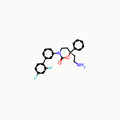 NCC[C@]1(c2ccccc2)CCN(c2cccc(-c3ccc(F)cc3F)c2)C(=O)O1